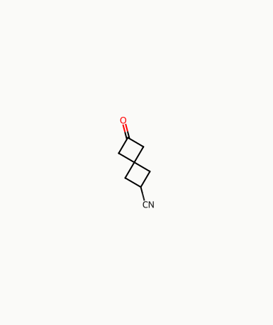 N#CC1CC2(CC(=O)C2)C1